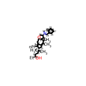 CCCC1[C@@H]2CC[C@@]3(CC(C)=C2C[C@@H]1C(C)(C)CC[C@H](O)CC)OC[C@@H](N(Cc1ccccc1)C[C@@H](C)CC)[C@H]3C